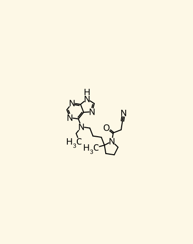 CCN(CCCC1(C)CCCN1C(=O)CC#N)c1ncnc2[nH]cnc12